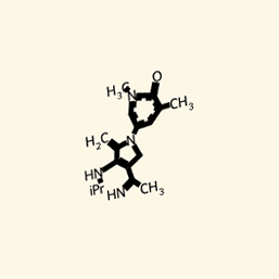 C=C1C(NC(C)C)=C(C(C)=N)CN1c1cc(C)c(=O)n(C)c1